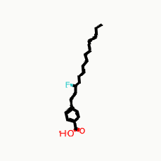 CCCCCCCCCCCC(F)CCc1ccc(C(=O)O)cc1